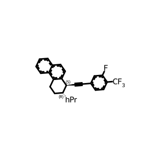 CCC[C@@H]1CCc2c(ccc3ccccc23)[C@H]1C#Cc1ccc(C(F)(F)F)c(F)c1